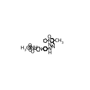 Cc1cc(=O)n(C2CCCC2)c2nc(Nc3ccc(N4CCC(C(=O)NS(C)(=O)=O)CC4)cc3)ncc12